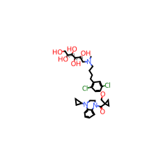 CN(CCCCc1cc(Cl)c(OCC2(C(=O)N3CCN(C4CC4)c4ccccc43)CC2)cc1Cl)C[C@H](O)[C@@H](O)[C@H](O)[C@H](O)CO